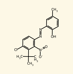 Cc1ccc(O)c(/N=N/c2ccc(Cl)c(C(C)(C)C)c2[N+](=O)[O-])c1